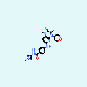 C[C@@H]1C(=O)N(C)c2ccc(Nc3ccc(C(=O)NC4CN(C)C4)cc3)nc2N1C1CCOCC1